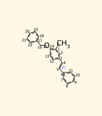 Cc1cc(/C=C/c2ccccc2)ccc1OCc1ccccc1